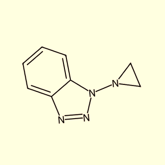 c1ccc2c(c1)nnn2N1CC1